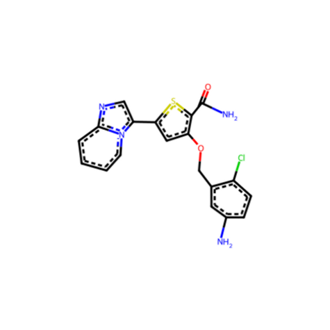 NC(=O)c1sc(-c2cnc3ccccn23)cc1OCc1cc(N)ccc1Cl